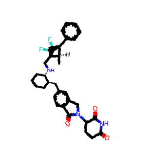 C[C@H]1C2(CN[C@H]3CCCC[C@@H]3Cc3ccc4c(c3)CN(C3CCC(=O)NC3=O)C4=O)CC1(c1ccccc1)C2(F)F